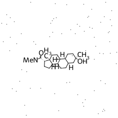 CNC(=O)[C@H]1CC[C@H]2[C@@H]3CC[C@@H]4C[C@](C)(O)CC[C@@H]4[C@H]3CC[C@]12C